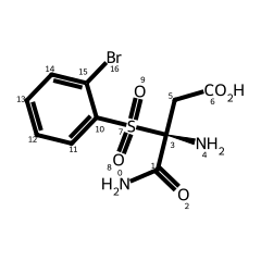 NC(=O)[C@@](N)(CC(=O)O)S(=O)(=O)c1ccccc1Br